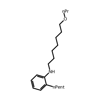 CCCCCc1ccccc1NCCCCCCCOCCC